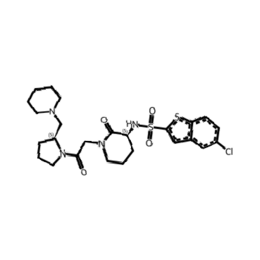 O=C1[C@@H](NS(=O)(=O)c2cc3cc(Cl)ccc3s2)CCCN1CC(=O)N1CCC[C@H]1CN1CCCCC1